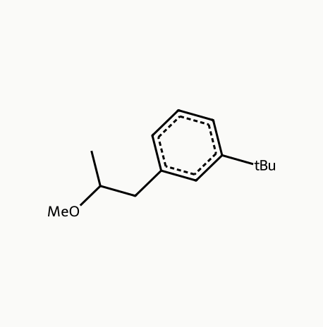 COC(C)Cc1cccc(C(C)(C)C)c1